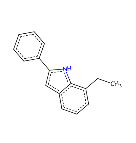 CCc1cccc2cc(-c3ccccc3)[nH]c12